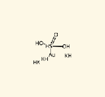 O=[SH](O)(O)[Au].[KH].[KH].[KH]